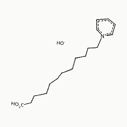 O=C(O)CCCCCCCCCCC[n+]1ccccc1.[OH-]